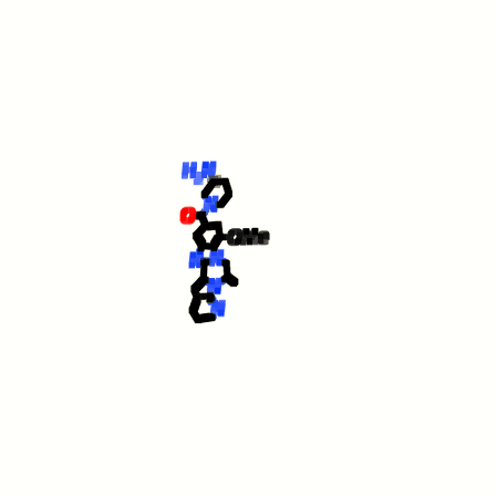 C=C1Cn2c(nc3cc(C(=O)N4CCC[C@@H](N)C4)cc(OC)c32)-c2cc3cccnc3n21